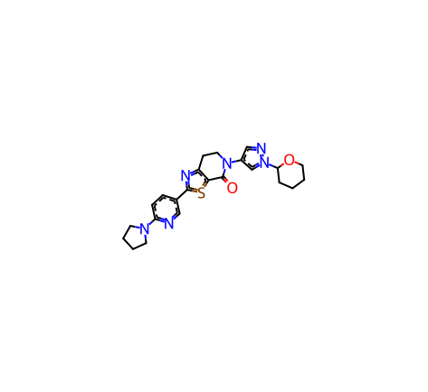 O=C1c2sc(-c3ccc(N4CCCC4)nc3)nc2CCN1c1cnn(C2CCCCO2)c1